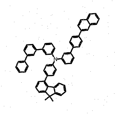 CC1(C)c2ccccc2-c2c(-c3ccc(N(c4cccc(-c5ccc(-c6ccc7ccccc7c6)cc5)c4)c4cccc(-c5cccc(-c6ccccc6)c5)c4)cc3)cccc21